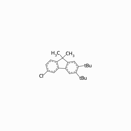 CC(C)(C)c1cc2c(cc1C(C)(C)C)C(C)(C)c1ccc(Cl)cc1-2